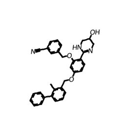 Cc1c(COc2ccc(C3=NCC(O)CN3)c(OCc3cccc(C#N)c3)c2)cccc1-c1ccccc1